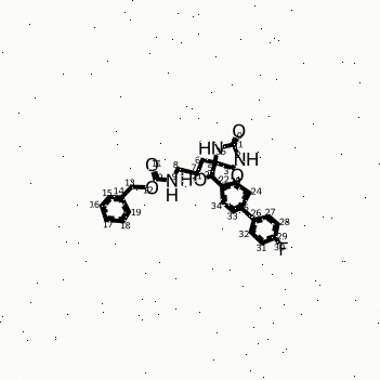 O=C1NC(=O)C(CCCNC(=O)OCc2ccccc2)(C(O)c2ccc(-c3ccc(F)cc3)cc2)N1